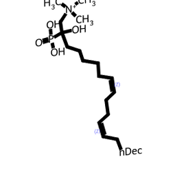 CCCCCCCCCCC/C=C\CC/C=C\CCCCCC(O)(C[N+](C)(C)C)P(=O)(O)O